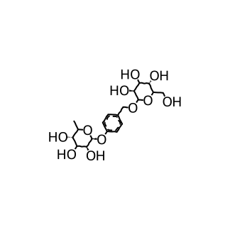 CC1O[C@@H](Oc2ccc(COC3OC(CO)[C@@H](O)C(O)[C@@H]3O)cc2)[C@@H](O)C(O)[C@@H]1O